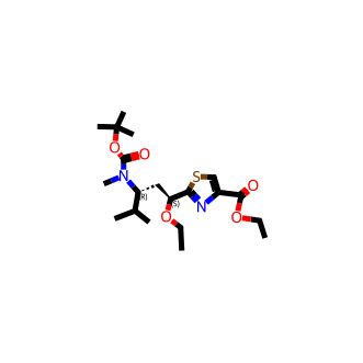 CCOC(=O)c1csc([C@H](C[C@H](C(C)C)N(C)C(=O)OC(C)(C)C)OCC)n1